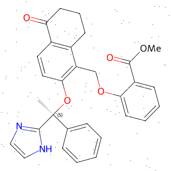 COC(=O)c1ccccc1OCc1c(O[C@@](C)(c2ccccc2)c2ncc[nH]2)ccc2c1CCCC2=O